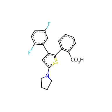 O=C(O)c1ccccc1-c1sc(N2CCCC2)cc1-c1cc(F)ccc1F